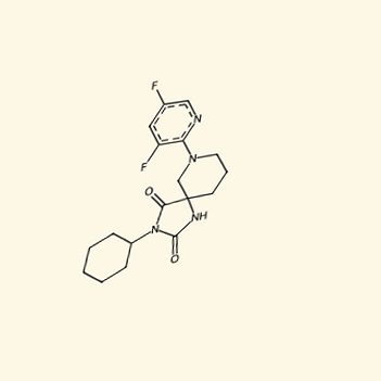 O=C1NC2(CCCN(c3ncc(F)cc3F)C2)C(=O)N1C1CCCCC1